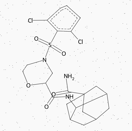 NC(=O)C12CC3CC(C1)C(NC(=O)C1CN(S(=O)(=O)c4c(Cl)cccc4Cl)CCO1)C(C3)C2